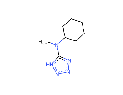 CN(c1nnn[nH]1)C1CCCCC1